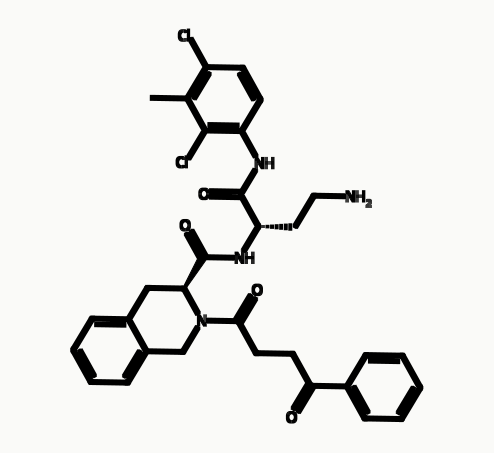 Cc1c(Cl)ccc(NC(=O)[C@H](CCN)NC(=O)[C@@H]2Cc3ccccc3CN2C(=O)CCC(=O)c2ccccc2)c1Cl